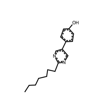 CCCCCCCc1ncc(-c2ccc(O)cc2)cn1